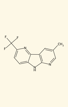 Cc1cnc2[nH]c3ccc(C(F)(F)F)nc3c2c1